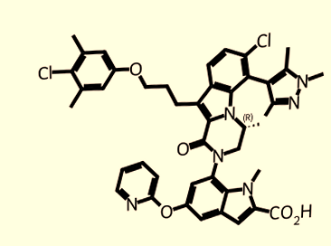 Cc1cc(OCCCc2c3n(c4c(-c5c(C)nn(C)c5C)c(Cl)ccc24)[C@H](C)CN(c2cc(Oc4ccccn4)cc4cc(C(=O)O)n(C)c24)C3=O)cc(C)c1Cl